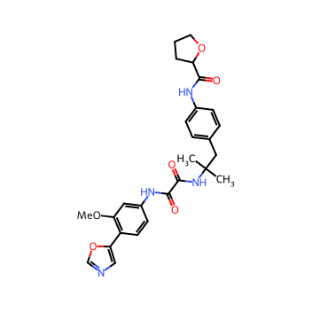 COc1cc(NC(=O)C(=O)NC(C)(C)Cc2ccc(NC(=O)C3CCCO3)cc2)ccc1-c1cnco1